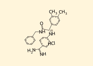 Cc1ccc([C@H](Nc2ccc(C(=N)N)cc2)C(=O)NCc2ccccc2)cc1C.Cl